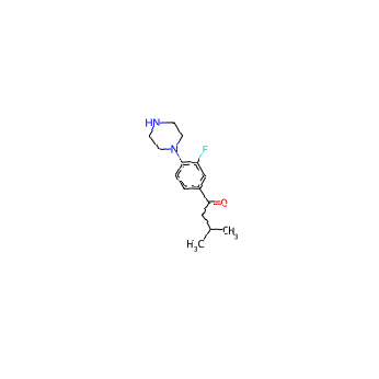 CC(C)CC(=O)c1ccc(N2CCNCC2)c(F)c1